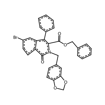 O=C(OCc1ccccc1)c1c(-c2ccccc2)c2cc(Br)ccc2c(=O)n1Cc1ccc2c(c1)OCO2